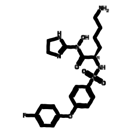 NCCCC[C@@H](NS(=O)(=O)c1ccc(Oc2ccc(F)cc2)cc1)C(=O)N(O)C1=NCCN1